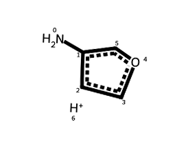 Nc1ccoc1.[H+]